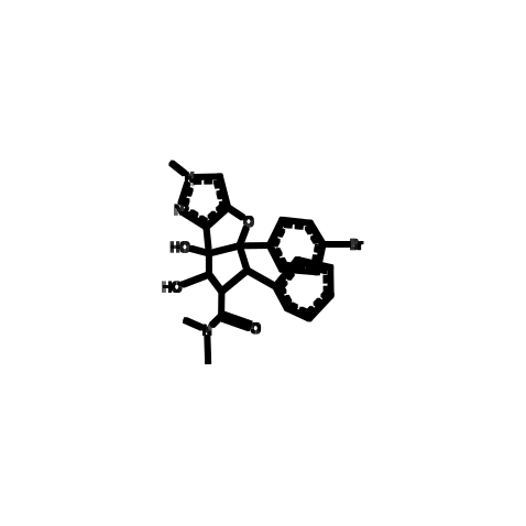 CN(C)C(=O)C1C(O)C2(O)c3nn(C)cc3OC2(c2ccc(Br)cc2)C1c1ccccc1